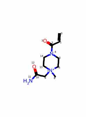 C=CC(=O)N1CC[N+](C)(CC(N)=O)CC1